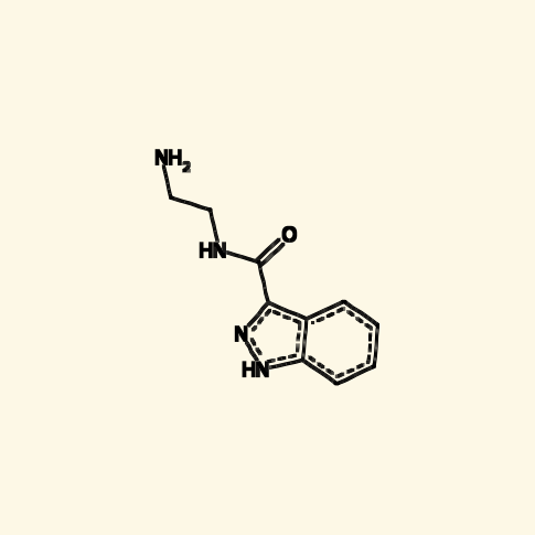 NCCNC(=O)c1n[nH]c2ccccc12